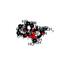 CN[C@H](CC(C)C)C(=O)N[C@H]1C(=O)N[C@@H](CC(N)=O)C(=O)NC2C(=O)N[C@H]3C(=O)N[C@H](C(=O)N[C@@H](C(=O)NCc4cccc(NC(=O)c5ccc(C)c(OCc6ccccc6)c5C)c4)c4cc(O)cc(O)c4-c4cc3ccc4O)[C@H](O)c3ccc(c(Cl)c3)Oc3cc2cc(c3O[C@@H]2O[C@H](CO)[C@@H](O)[C@H](O)[C@H]2O[C@H]2C[C@](C)(N)[C@H](O)[C@H](C)O2)Oc2ccc(cc2Cl)[C@H]1O